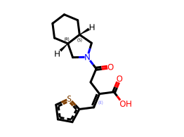 O=C(O)/C(=C/c1cccs1)CC(=O)N1C[C@H]2CCCC[C@H]2C1